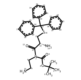 CC(C)(C)OC(=O)N(CCN)C(=O)[C@@H](N)CSC(c1ccccc1)(c1ccccc1)c1ccccc1